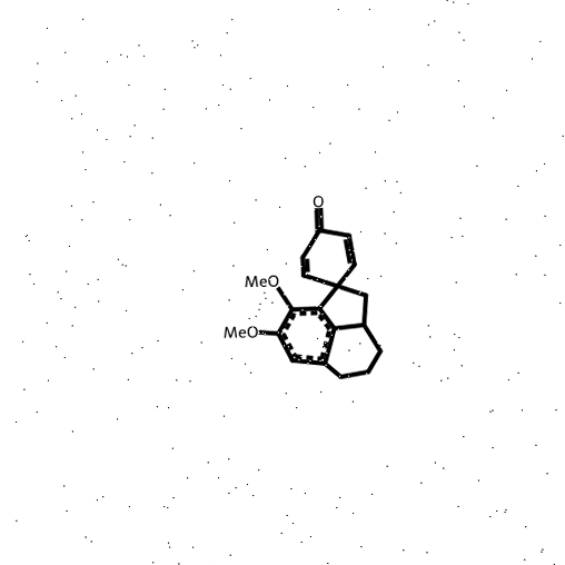 COc1cc2c3c(c1OC)C1(C=CC(=O)C=C1)CC3CCC2